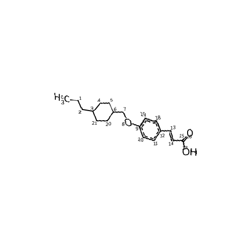 CCCC1CCC(COc2ccc(C=CC(=O)O)cc2)CC1